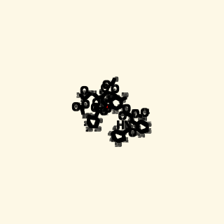 CC(=O)O[C@H]1C(=O)[C@](C)([C@@H](O)C[C@H]2OC[C@@H]2OC(C)=O)C[C@H](OC(=O)c2ccccc2)[C@]2(O)C[C@H](OC(=O)[C@H](OC=O)[C@@H](NC(=O)c3ccccc3)c3ccccc3)C(C)=C1C2(C)C